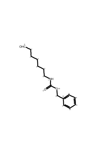 O=CCCCCCCNC(=O)OCc1ccccc1